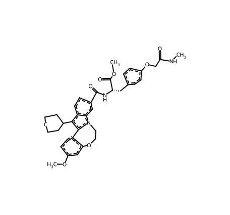 CNC(=O)COc1ccc(C[C@H](NC(=O)c2ccc3c(C4CCCCC4)c4n(c3c2)CCOc2cc(OC)ccc2-4)C(=O)OC)cc1